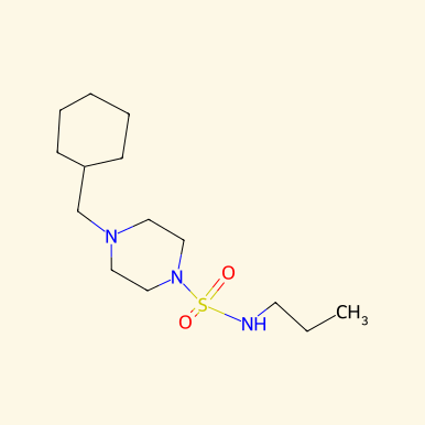 CCCNS(=O)(=O)N1CCN(CC2CCCCC2)CC1